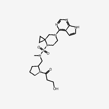 CN(CC1CCCN1C(=O)CCO)S(=O)(=O)N1CCN(c2ncnc3[nH]ccc23)CC12CC2